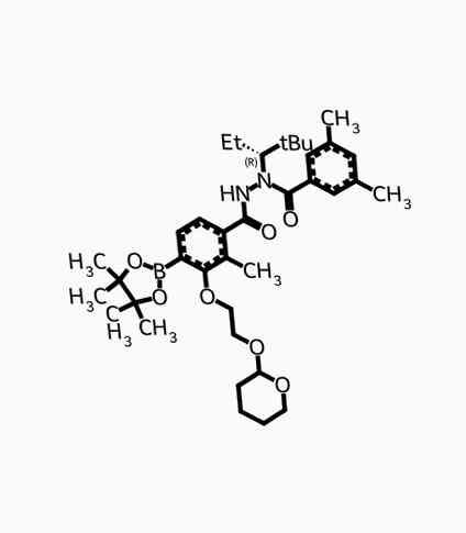 CC[C@@H](N(NC(=O)c1ccc(B2OC(C)(C)C(C)(C)O2)c(OCCOC2CCCCO2)c1C)C(=O)c1cc(C)cc(C)c1)C(C)(C)C